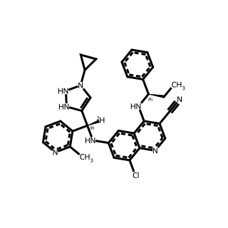 [2H][C@](Nc1cc(Cl)c2ncc(C#N)c(N[C@H](CC)c3ccccc3)c2c1)(C1=CN(C2CC2)NN1)c1cccnc1C